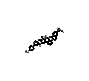 CN1CCN(c2cc(Nc3cc(-c4cccc(N5CCc6cc(N(C)C)ccc6C5=O)c4CO)cn(C)c3=O)ncn2)CC1